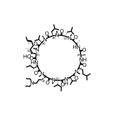 C/C=C/C[C@@H](C)[C@@H](O)[C@H]1C(=O)N[C@H](CCC)C(=O)N(C)[C@H](SCCN(CC)CC)C(=O)N(C)[C@@H](C(C)CC)C(=O)N[C@H](C(C)C)C(=O)N(C)[C@H](CCC(C)C)C(=O)N[C@H](C)C(=O)N[C@@H](C)C(=O)N(C)[C@@H](CC(C)C)C(=O)N(C)[C@H](CC(C)C)C(=O)N(C)[C@H](C(C)C)C(=O)N1C